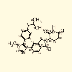 CC(C)Cc1ccc(-c2c(-c3ccc4c(c3)CN(C3CCC(=O)NC3=O)C4=O)ncn2C)cc1